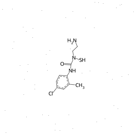 Cc1cc(Cl)ccc1NC(=O)N(S)CCN